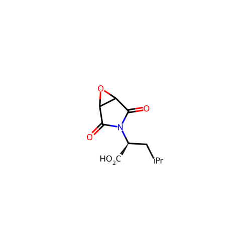 CC(C)C[C@@H](C(=O)O)N1C(=O)C2OC2C1=O